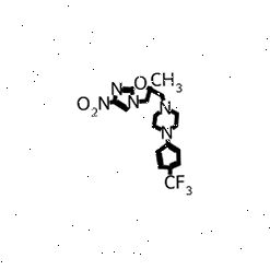 C[C@@]1(CN2CCN(c3ccc(C(F)(F)F)cc3)CC2)Cn2cc([N+](=O)[O-])nc2O1